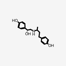 CC(CCc1ccc(O)cc1)NC[C@H](O)c1ccc(O)cc1